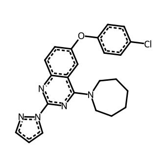 Clc1ccc(Oc2ccc3nc(-n4cccn4)nc(N4CCCCCC4)c3c2)cc1